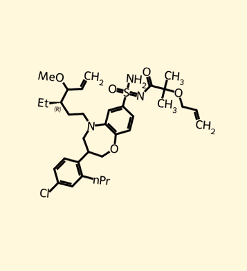 C=CCOC(C)(C)C(=O)N=S(N)(=O)c1ccc2c(c1)N(CC[C@@H](CC)C(C=C)OC)CC(c1ccc(Cl)cc1CCC)CO2